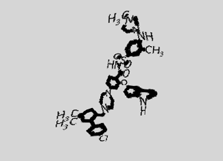 Cc1cc(S(=O)(=O)NC(=O)c2ccc(N3CCN(CC4=C(c5ccc(Cl)cc5)CC(C)(C)CC4)CC3)cc2Oc2ccc3[nH]ccc3c2)ccc1NN1CCN(C)CC1